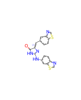 O=C1NC(Nc2ccc3ncsc3c2)=N/C1=C\c1ccc2scnc2c1